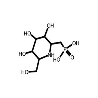 O=P(O)(O)CC1NC(CO)C(O)C(O)C1O